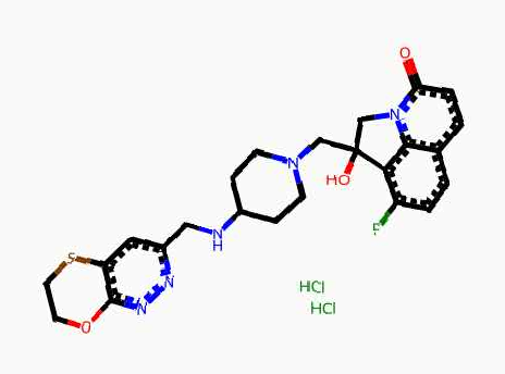 Cl.Cl.O=c1ccc2ccc(F)c3c2n1CC3(O)CN1CCC(NCc2cc3c(nn2)OCCS3)CC1